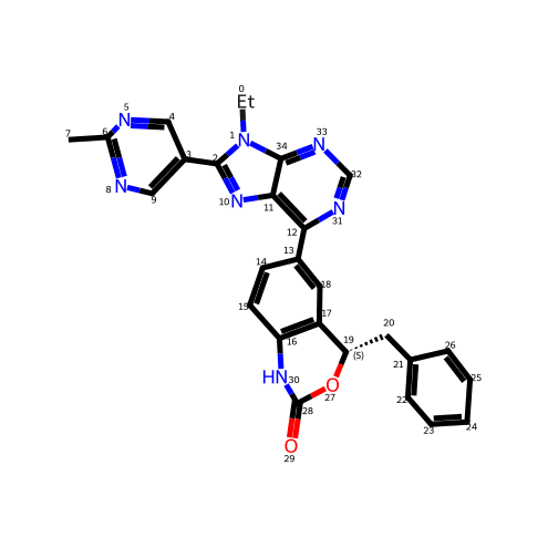 CCn1c(-c2cnc(C)nc2)nc2c(-c3ccc4c(c3)[C@H](Cc3ccccc3)OC(=O)N4)ncnc21